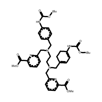 COC(=O)c1cccc(CN(CCN(Cc2ccc(NC(=O)OC(C)(C)C)cc2)Cc2cccc(C(=O)OC)n2)CC2=CC=C(NC(=O)OC(C)(C)C)CC2)n1